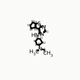 CCN(C)[C@H]1CC[C@H](Nc2ncnc3sc4c(c23)CCC4)CC1